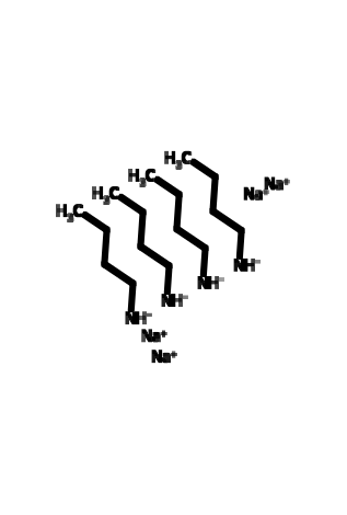 CCCC[NH-].CCCC[NH-].CCCC[NH-].CCCC[NH-].[Na+].[Na+].[Na+].[Na+]